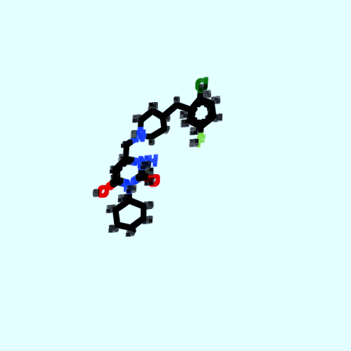 O=c1cc(CN2CCC(Cc3cc(F)ccc3Cl)CC2)[nH]c(=O)n1C1CCCCC1